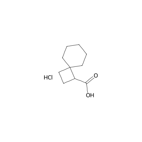 Cl.O=C(O)C1CCC12CCCCC2